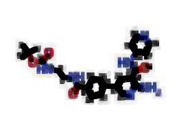 CC(C)(C)OC(=O)NCCNC(=O)c1ccc(-c2cnc(N)c(C(=O)Nc3ccncc3)c2)cc1